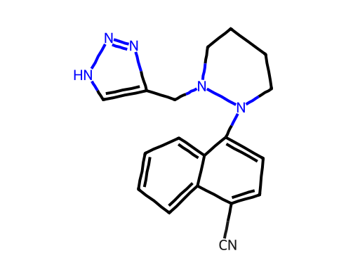 N#Cc1ccc(N2CCCCN2Cc2c[nH]nn2)c2ccccc12